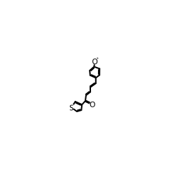 COc1ccc(/C=C/C=C/C(=O)c2ccsc2)cc1